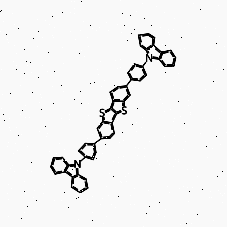 c1ccc2c(c1)c1ccccc1n2-c1ccc(-c2ccc3c(c2)sc2c4ccc(-c5ccc(-n6c7ccccc7c7ccccc76)cc5)cc4sc32)cc1